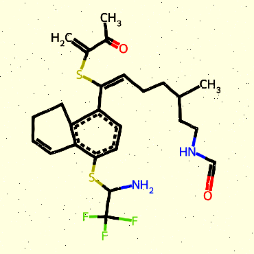 C=C(S/C(=C/CCC(C)CCNC=O)c1ccc(SC(N)C(F)(F)F)c2c1CCC=C2)C(C)=O